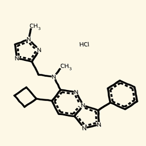 CN(Cc1ncn(C)n1)c1nn2c(-c3ccccc3)nnc2cc1C1CCC1.Cl